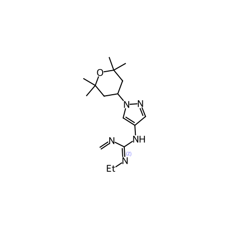 C=N/C(=N\CC)Nc1cnn(C2CC(C)(C)OC(C)(C)C2)c1